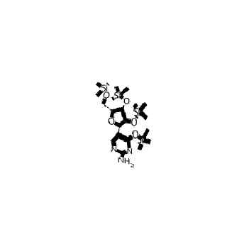 C[Si](C)(C)OC[C@H]1O[C@@H](c2cnc(N)nc2O[Si](C)(C)C)C(O[Si](C)(C)C)[C@H]1O[Si](C)(C)C